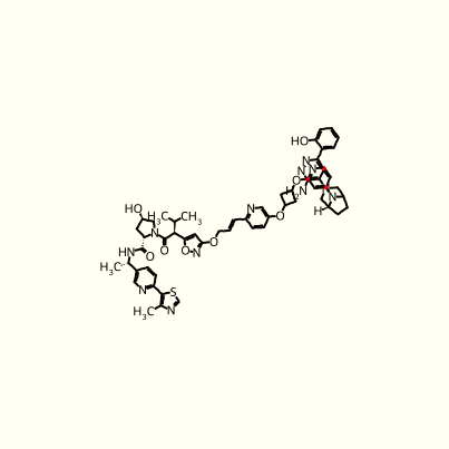 Cc1ncsc1-c1ccc([C@H](C)NC(=O)[C@@H]2C[C@@H](O)CN2C(=O)[C@H](c2cc(OC/C=C/c3ccc(OC4CC(Oc5cc(N6C7CC[C@@H]6CN(c6cc(-c8ccccc8O)nnc6N)C7)ccn5)C4)cn3)no2)C(C)C)cn1